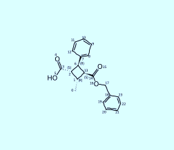 C[C@@H]1[C@H](C(=O)O)[C@@H](c2ccccc2)[C@H]1C(=O)OCc1ccccc1